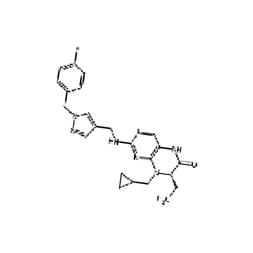 CC[C@@H]1C(=O)Nc2cnc(NCc3cnn(Cc4ccc(F)cc4)c3)nc2N1CC1CC1